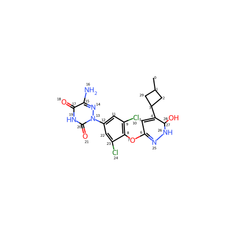 CC1CC(C2=CC(Oc3c(Cl)cc(-n4nc(N)c(=O)[nH]c4=O)cc3Cl)=NNC2O)C1